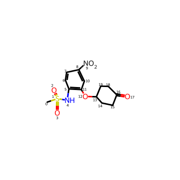 CS(=O)(=O)Nc1ccc([N+](=O)[O-])cc1OC1CCC(=O)CC1